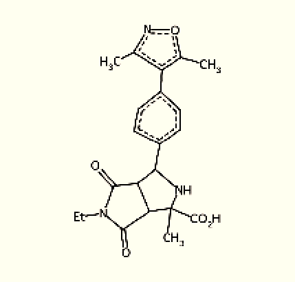 CCN1C(=O)C2C(c3ccc(-c4c(C)noc4C)cc3)NC(C)(C(=O)O)C2C1=O